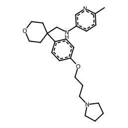 Cc1ccc(NCC2(c3ccc(OCCCN4CCCC4)cc3)CCOCC2)cn1